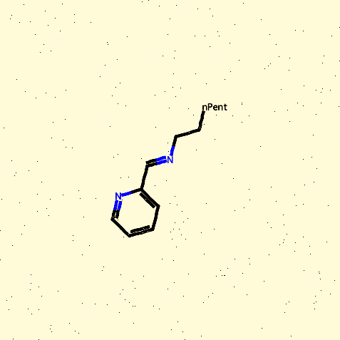 CCCCCCCN=Cc1ccccn1